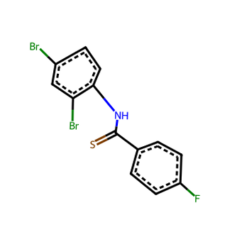 Fc1ccc(C(=S)Nc2ccc(Br)cc2Br)cc1